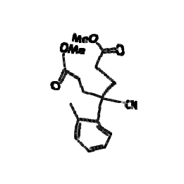 COC(=O)CCC(C#N)(CCC(=O)OC)c1ccccc1C